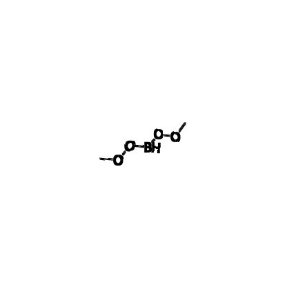 COOBOOC